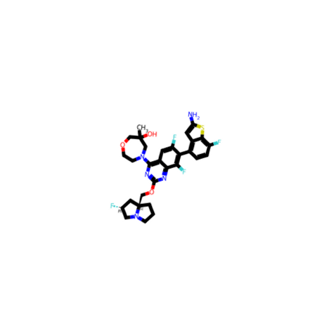 CC1(O)COCCN(c2nc(OC[C@@]34CCCN3C[C@H](F)C4)nc3c(F)c(-c4ccc(F)c5sc(N)cc45)c(F)cc23)C1